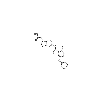 O=C(O)C[C@@H]1COc2cc(O[C@@H]3CCc4c(Oc5ccccc5)ccc(F)c43)ccc21